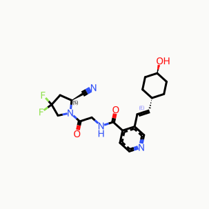 N#C[C@@H]1CC(F)(F)CN1C(=O)CNC(=O)c1ccncc1/C=C/[C@H]1CC[C@H](O)CC1